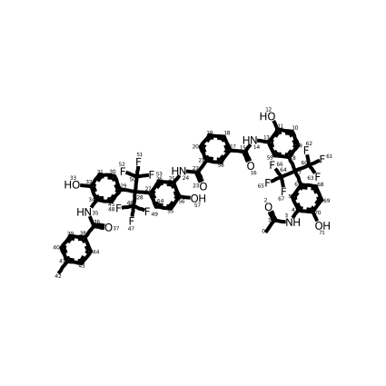 CC(=O)Nc1cc(C(c2ccc(O)c(NC(=O)c3cccc(C(=O)Nc4cc(C(c5ccc(O)c(NC(=O)c6ccc(C)cc6)c5)(C(F)(F)F)C(F)(F)F)ccc4O)c3)c2)(C(F)(F)F)C(F)(F)F)ccc1O